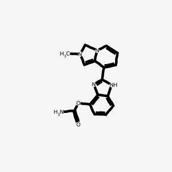 CN1C=C2C(c3nc4c(OC(N)=O)cccc4[nH]3)=CC=CN2C1